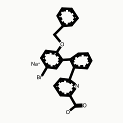 O=C([O-])c1cccc(-c2ccccc2-c2cc(Br)ccc2OCc2ccccc2)n1.[Na+]